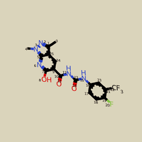 Cc1nn(C)c2nc(O)c(C(=O)NC(=O)Nc3ccc(F)c(C(F)(F)F)c3)cc12